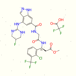 COC(=O)C[C@H](NC(=O)CNC(=O)c1cc(NC2=NCC(F)CN2)c2cn[nH]c2c1)c1cccc(C(F)(F)F)c1Cl.O=C(O)C(F)(F)F